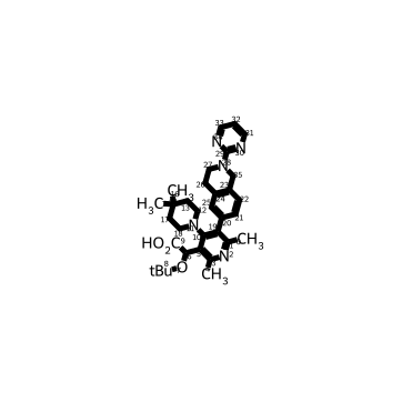 Cc1nc(C)c(C(OC(C)(C)C)C(=O)O)c(N2CCC(C)(C)CC2)c1-c1ccc2c(c1)CCN(c1ncccn1)C2